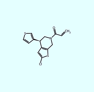 C=CC(=O)N1Cc2sc(Cl)cc2[C@@H](c2ccsc2)C1